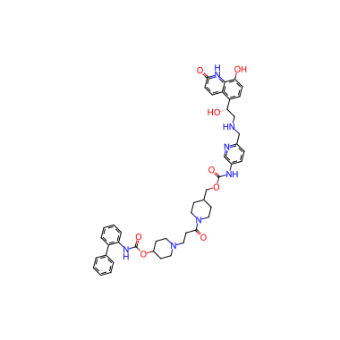 O=C(Nc1ccc(CNC[C@H](O)c2ccc(O)c3[nH]c(=O)ccc23)nc1)OCC1CCN(C(=O)CCN2CCC(OC(=O)Nc3ccccc3-c3ccccc3)CC2)CC1